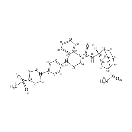 CS(=O)(=O)N1CCN(c2ccc(N3CCN(C(=O)N[C@H]4C5CC6CC4C[C@@](C(N)=O)(C6)C5)c4ccccc43)cc2)CC1